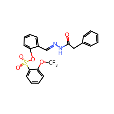 O=C(Cc1ccccc1)NN=Cc1ccccc1OS(=O)(=O)c1ccccc1OC(F)(F)F